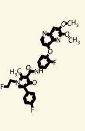 COc1cc2nccc(Oc3ccc(NC(=O)c4c(C)n(CCF)cc(-c5ccc(F)cc5)c4=O)cc3F)c2nc1OC